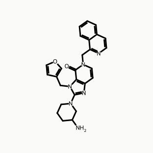 NC1CCCN(c2nc3ccn(Cc4nccc5ccccc45)c(=O)c3n2Cc2ccoc2)C1